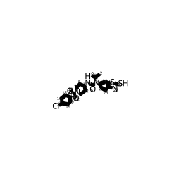 CC(C)N(C(=O)NC1CCN(S(=O)(=O)c2ccc(Cl)cc2)CC1)c1ccc2nc(S)sc2c1